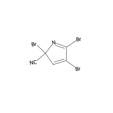 N#CC1(Br)C=C(Br)C(Br)=N1